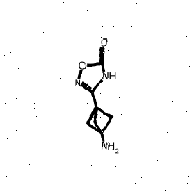 NC12CC(c3noc(=O)[nH]3)(C1)C2